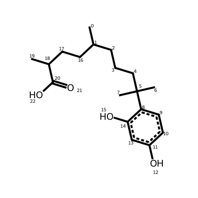 CC(CCCC(C)(C)c1ccc(O)cc1O)CCC(C)C(=O)O